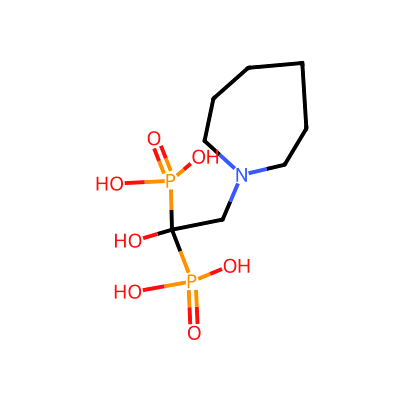 O=P(O)(O)C(O)(CN1CCCCCC1)P(=O)(O)O